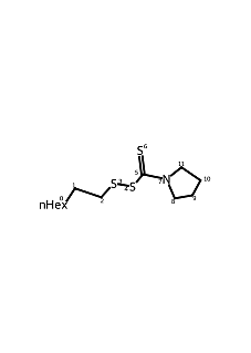 CCCCCCCCSSC(=S)N1CCCC1